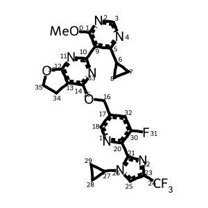 COc1ncnc(C2CC2)c1-c1nc2c(c(OCc3cnc(-c4nc(C(F)(F)F)cn4C4CC4)c(F)c3)n1)CCO2